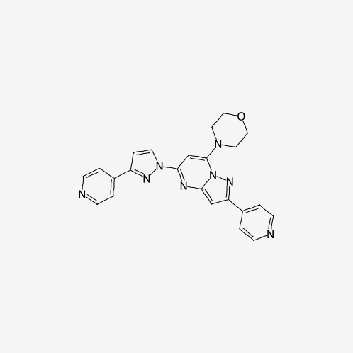 c1cc(-c2ccn(-c3cc(N4CCOCC4)n4nc(-c5ccncc5)cc4n3)n2)ccn1